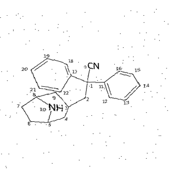 N#CC(CC1CC2CCC(C1)N2)(c1ccccc1)c1ccccc1